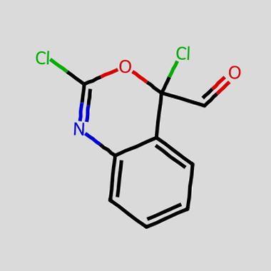 O=CC1(Cl)OC(Cl)=Nc2ccccc21